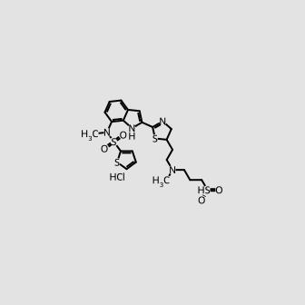 CN(CCC[SH](=O)=O)CCC1CN=C(c2cc3cccc(N(C)S(=O)(=O)c4cccs4)c3[nH]2)S1.Cl